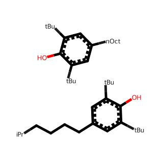 CC(C)CCCCc1cc(C(C)(C)C)c(O)c(C(C)(C)C)c1.CCCCCCCCc1cc(C(C)(C)C)c(O)c(C(C)(C)C)c1